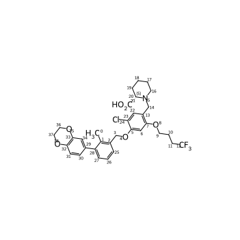 Cc1c(COc2cc(OCCCC(F)(F)F)c(CN3CCCC[C@H]3C(=O)O)cc2Cl)cccc1-c1ccc2c(c1)OCCO2